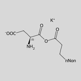 CCCCCCCCCCCC(=O)OC(=O)[C@@H](N)CC(=O)[O-].[K+]